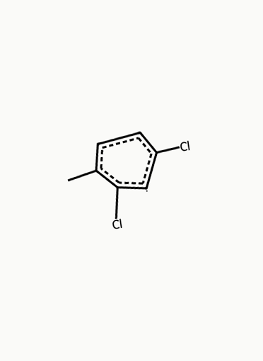 Cc1ccc(Cl)[c]c1Cl